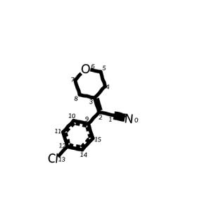 N#CC(=C1CCOCC1)c1ccc(Cl)cc1